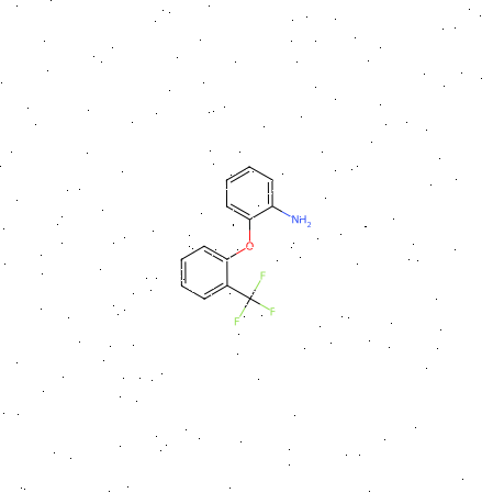 Nc1ccccc1Oc1ccccc1C(F)(F)F